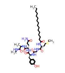 CCCCCCCCCCCCCCCC(=O)N[C@@H](CCSC)C(=O)NCC(=O)N[C@@H](Cc1ccc(O)cc1)C(=O)N[C@@H](CCC(N)=O)C(=O)N[C@@H](C)C(=O)NC